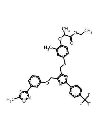 CCOC(=O)C(C)Oc1ccc(SCc2sc(-c3ccc(C(F)(F)F)cc3)nc2COc2cccc(-c3noc(C)n3)c2)cc1C